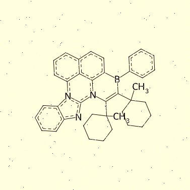 CC1(C2=C(C3(C)CCCCC3)n3c4c(ccc5cccc(c54)n4c5ccccc5nc34)B2c2ccccc2)CCCCC1